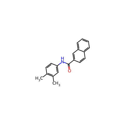 Cc1ccc(NC(=O)c2ccc3ccccc3c2)cc1C